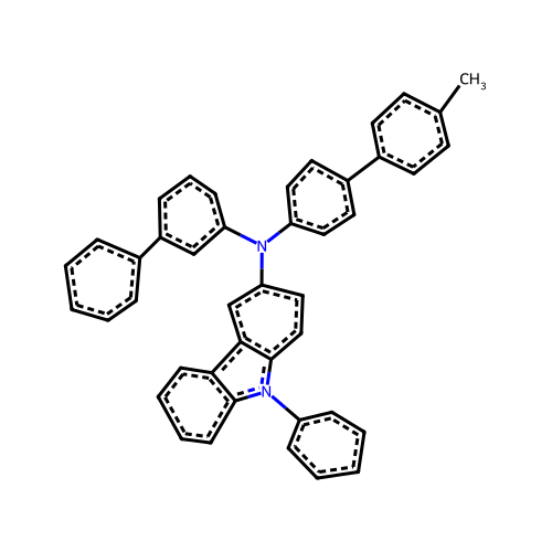 Cc1ccc(-c2ccc(N(c3cccc(-c4ccccc4)c3)c3ccc4c(c3)c3ccccc3n4-c3ccccc3)cc2)cc1